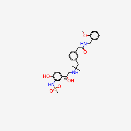 COc1ccccc1CNC(=O)Cc1cccc(CC(C)(C)NC[C@@H](O)c2ccc(O)c(NS(C)(=O)=O)c2)c1